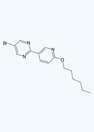 CCCCCCOc1ccc(-c2ncc(Br)cn2)cn1